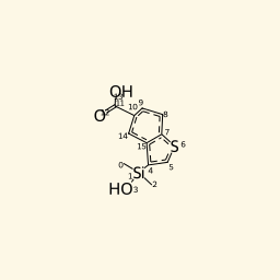 C[Si](C)(O)c1csc2ccc(C(=O)O)cc12